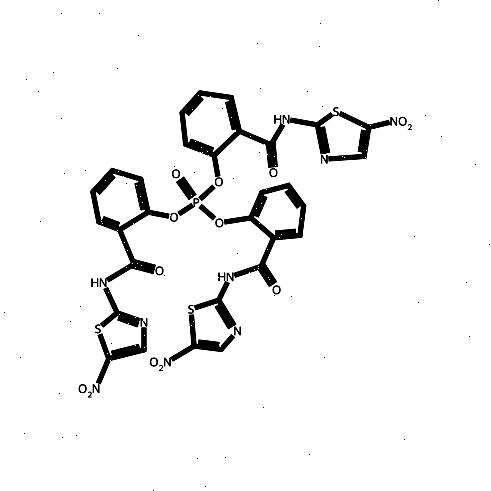 O=C(Nc1ncc([N+](=O)[O-])s1)c1ccccc1OP(=O)(Oc1ccccc1C(=O)Nc1ncc([N+](=O)[O-])s1)Oc1ccccc1C(=O)Nc1ncc([N+](=O)[O-])s1